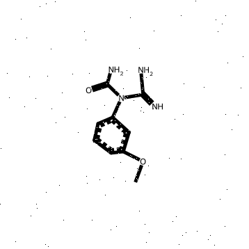 COc1cccc(N(C(=N)N)C(N)=O)c1